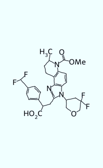 COC(=O)N1c2ccc3c(nc(CC(C(=O)O)c4ccc(C(F)F)cc4)n3C3COCC(F)(F)C3)c2CCC1C